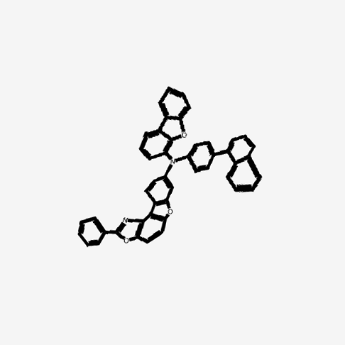 c1ccc(-c2nc3c(ccc4oc5cc(N(c6ccc(-c7cccc8ccccc78)cc6)c6cccc7c6oc6ccccc67)ccc5c43)o2)cc1